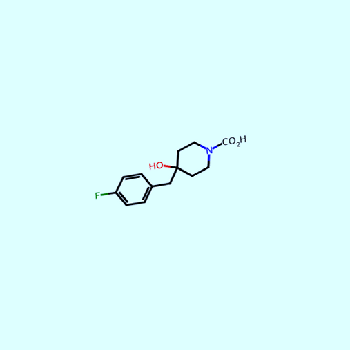 O=C(O)N1CCC(O)(Cc2ccc(F)cc2)CC1